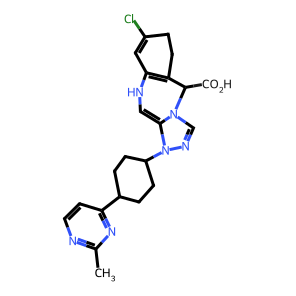 Cc1nccc(C2CCC(N3N=CN4C3=CNC3=C(CCC(Cl)=C3)C4C(=O)O)CC2)n1